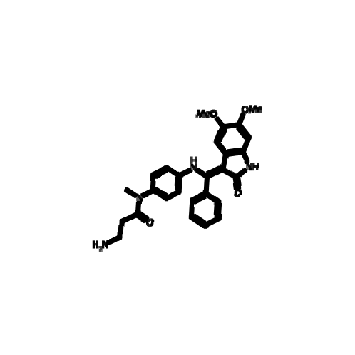 COc1cc2c(cc1OC)C(=C(Nc1ccc(N(C)C(=O)CCN)cc1)c1ccccc1)C(=O)N2